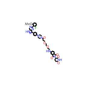 COc1cccc(F)c1-c1ncc2[nH]nc(-c3ccc(N4CCN(C(=O)CCOCCOCCNc5ccc6c(c5)C(=O)N(C5CCC(=O)NC5=O)C6=O)CC4)cc3)c2n1